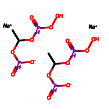 CC(O[PH](=O)[O-])O[PH](=O)OO.CC(O[PH](=O)[O-])O[PH](=O)OO.[Na+].[Na+]